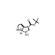 CC(C)(C)OC(=O)N1C[C@H](O)[C@H]2NCC=C21